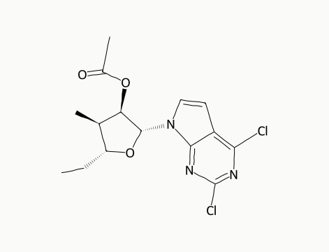 CC[C@H]1O[C@@H](n2ccc3c(Cl)nc(Cl)nc32)[C@H](OC(C)=O)[C@@H]1C